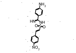 N=C(NS(=O)(=O)C=Cc1ccc([N+](=O)[O-])cc1)c1ccc(N)cc1